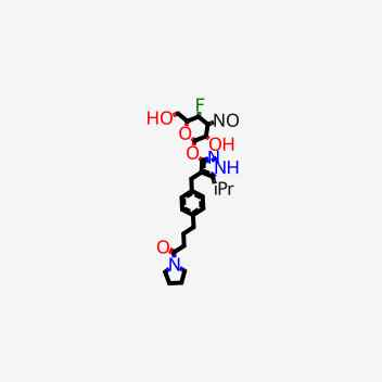 CC(C)c1[nH]nc(OC2OC(CO)C(F)C(N=O)C2O)c1Cc1ccc(CCCC(=O)N2CCCC2)cc1